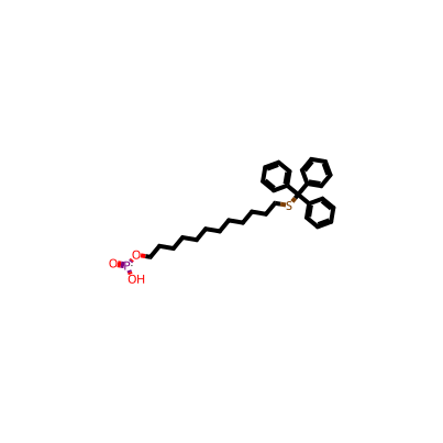 O=[P](O)OCCCCCCCCCCCCSC(c1ccccc1)(c1ccccc1)c1ccccc1